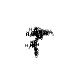 CC(C)(C)OC(=O)NCC[C@H](NC(=O)OC(C)(C)C)C(=O)OC[C@H](COc1ccc(-c2c(C#N)c(N)nc(SCc3coc(-c4ccc(Cl)cc4)n3)c2C#N)cc1)OC(=O)[C@H](CCNC(=O)OC(C)(C)C)NC(=O)OC(C)(C)C